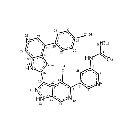 CC(C)(C)C(=O)Nc1cncc(-c2ncc3[nH]nc(-c4nc5c(-c6ccc(F)cc6)cncc5[nH]4)c3c2F)c1